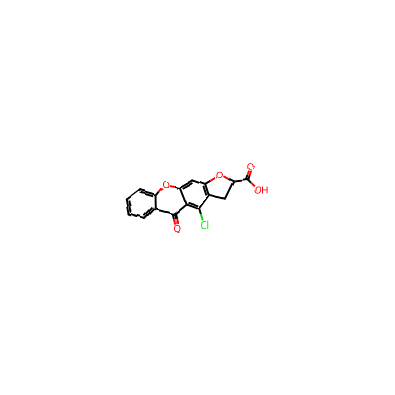 O=C(O)C1Cc2c(cc3oc4ccccc4c(=O)c3c2Cl)O1